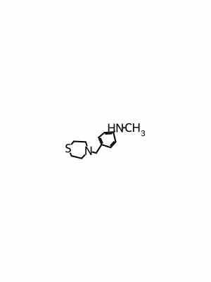 CNc1ccc(CN2CCSCC2)cc1